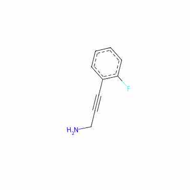 NCC#Cc1ccccc1F